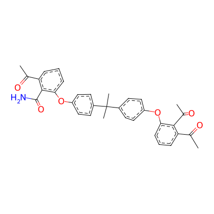 CC(=O)c1cccc(Oc2ccc(C(C)(C)c3ccc(Oc4cccc(C(C)=O)c4C(N)=O)cc3)cc2)c1C(C)=O